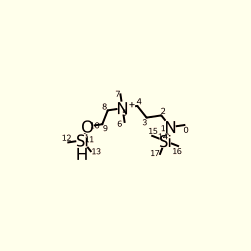 CN(CCC[N+](C)(C)CCO[SiH](C)C)[Si](C)(C)C